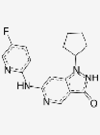 O=c1[nH]n(C2CCCC2)c2cc(Nc3ccc(F)cn3)ncc12